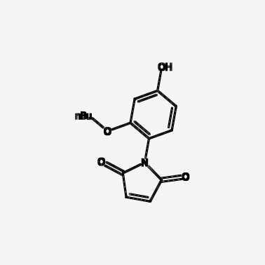 CCCCOc1cc(O)ccc1N1C(=O)C=CC1=O